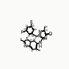 CC1=NC2=CC(C)=C(Nc3nc(=O)c(C)nn3Cc3cc(F)cc(F)c3)CC2S1